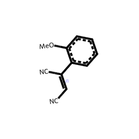 COc1ccccc1/C(C#N)=C/C#N